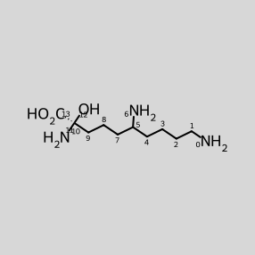 NCCCCC(N)CCC[C@@](N)(O)C(=O)O